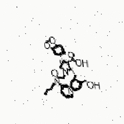 CCCCN(C(=O)CN1C[C@H](c2ccc3c(c2)OCO3)[C@@H](C(=O)O)[C@@H]1Cc1ccccc1CO)c1cccnc1